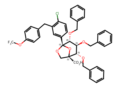 O=C(O)[C@@]12CO[C@@](c3ccc(Cl)c(Cc4ccc(OC(F)(F)F)cc4)c3)(O1)[C@H](OCc1ccccc1)[C@@H](OCc1ccccc1)[C@@H]2OCc1ccccc1